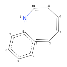 C1=C\C=c2\cccc\c2=N\C=C/1